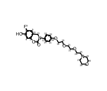 O=C1Oc2cc(O)c(F)cc2CN1c1ccc(OCCOCCOCCN2CCOCC2)cc1